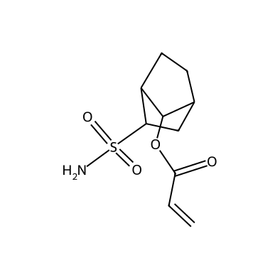 C=CC(=O)OC1C2CCC1C(S(N)(=O)=O)C2